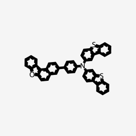 c1ccc2c(c1)oc1ccc3cc(-c4ccc(N(c5ccc6c(c5)sc5ccccc56)c5ccc6sc7ccccc7c6c5)cc4)ccc3c12